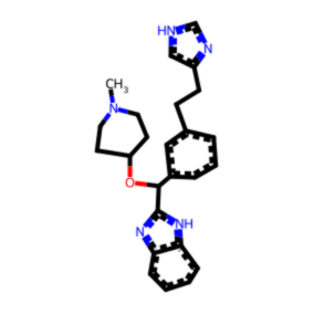 CN1CCC(OC(c2cccc(CCc3c[nH]cn3)c2)c2nc3ccccc3[nH]2)CC1